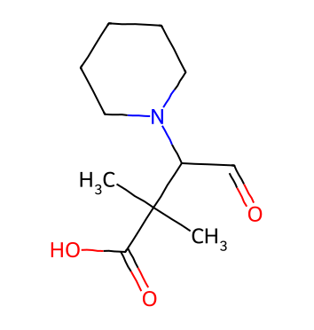 CC(C)(C(=O)O)C(C=O)N1CCCCC1